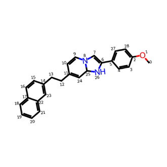 COc1ccc(C2=CN3C=CC(CCc4ccc5ccccc5c4)=CC3N2)cc1